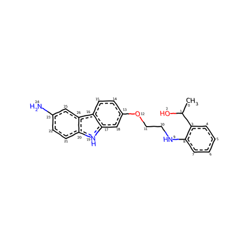 CC(O)c1ccccc1NCCOc1ccc2c(c1)[nH]c1ccc(N)cc12